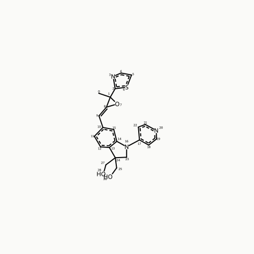 CC1(c2nccs2)OC1=Cc1ccc2c(c1)N(c1ccncc1)CC2(CO)CO